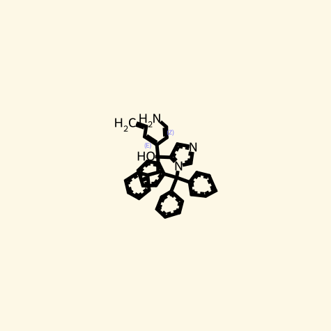 C=C/C=C(\C=C/N)C(O)(Cc1ccccc1)c1cncn1C(c1ccccc1)(c1ccccc1)c1ccccc1